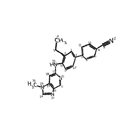 CCc1cc(-c2ccc(C#N)cc2)ccc1Nc1cc2c(cn1)ncn2C